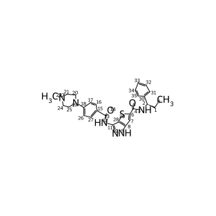 CC[C@@H](NC(=O)c1cc2[nH]nc(NC(=O)c3ccc(N4CCN(C)CC4)cc3)c2s1)c1ccccc1